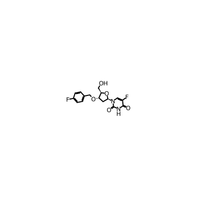 O=c1[nH]c(=O)n([C@H]2C[C@H](OCc3ccc(F)cc3)[C@@H](CO)O2)cc1F